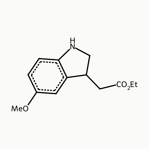 CCOC(=O)CC1CNc2ccc(OC)cc21